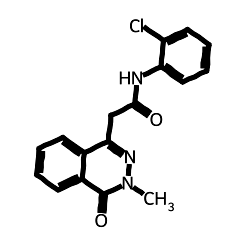 Cn1nc(CC(=O)Nc2ccccc2Cl)c2ccccc2c1=O